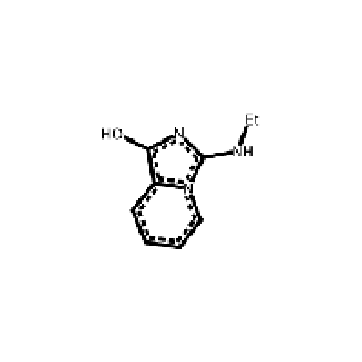 CCNc1nc(O)c2ccccn12